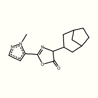 Cn1nccc1C1=NC(C2CC3CCC(C3)C2)C(=O)O1